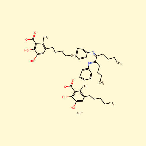 CCCCC(=Nc1ccccc1)C(CCCC)=Nc1ccccc1.CCCCCc1cc(O)c(O)c(C(=O)[O-])c1C.CCCCCc1cc(O)c(O)c(C(=O)[O-])c1C.[Pd+2]